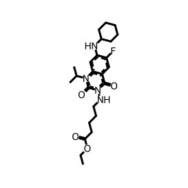 CCOC(=O)CCCCNn1c(=O)c2cc(F)c(NC3CCCCC3)cc2n(C(C)C)c1=O